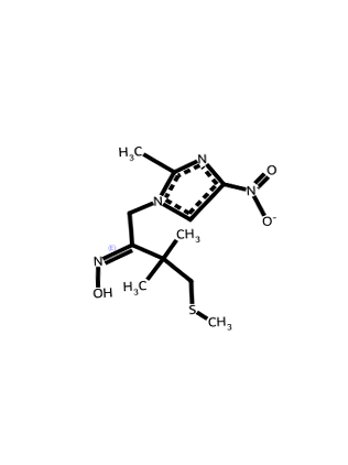 CSCC(C)(C)/C(Cn1cc([N+](=O)[O-])nc1C)=N\O